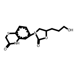 O=C1CSc2ccc(N3CC(CCCO)OC3=O)cc2N1